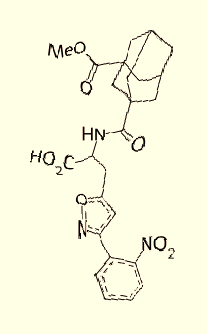 COC(=O)C12CC3CC(CC(C(=O)NC(Cc4cc(-c5ccccc5[N+](=O)[O-])no4)C(=O)O)(C3)C1)C2